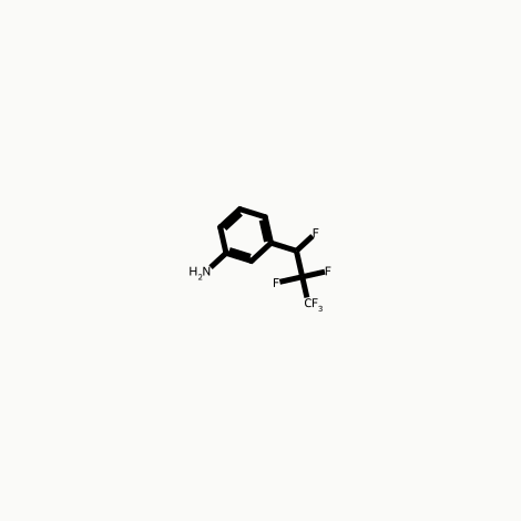 Nc1cccc(C(F)C(F)(F)C(F)(F)F)c1